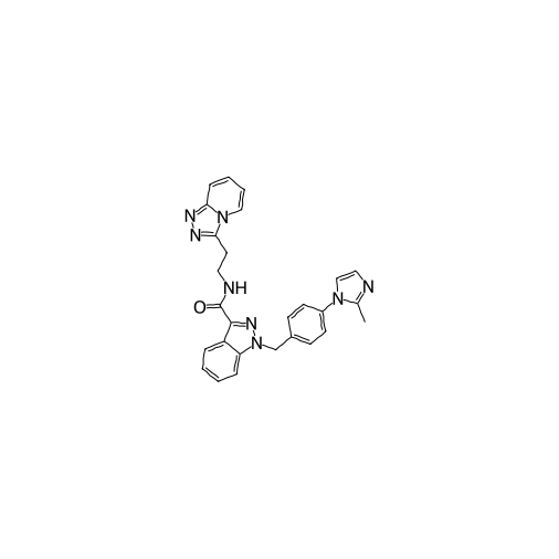 Cc1nccn1-c1ccc(Cn2nc(C(=O)NCCc3nnc4ccccn34)c3ccccc32)cc1